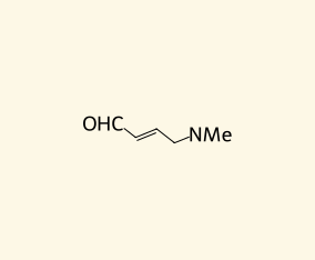 CNCC=CC=O